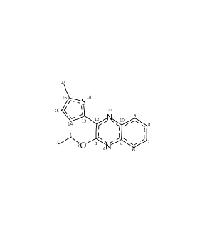 CCOc1nc2ccccc2nc1-c1ccc(C)s1